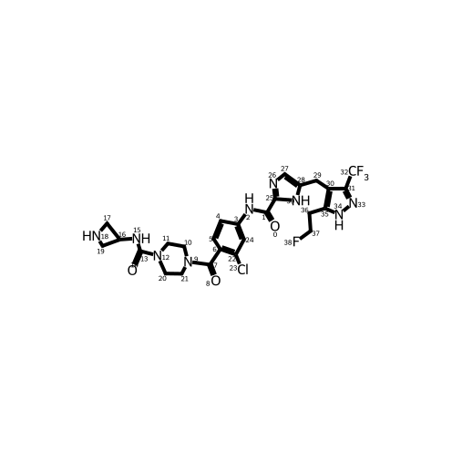 O=C(Nc1ccc(C(=O)N2CCN(C(=O)NC3CNC3)CC2)c(Cl)c1)c1ncc(Cc2c(C(F)(F)F)n[nH]c2CCF)[nH]1